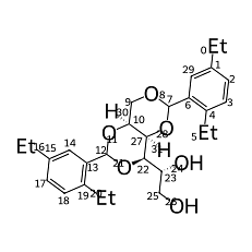 CCc1ccc(CC)c(C2OC[C@@H]3OC(c4cc(CC)ccc4CC)O[C@H]([C@H](O)CO)[C@@H]3O2)c1